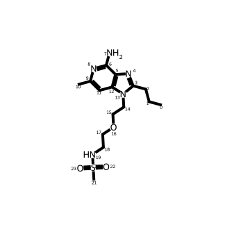 CCCc1nc2c(N)nc(C)cc2n1CCOCCNS(C)(=O)=O